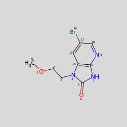 COCCn1c(=O)[nH]c2ncc(Br)cc21